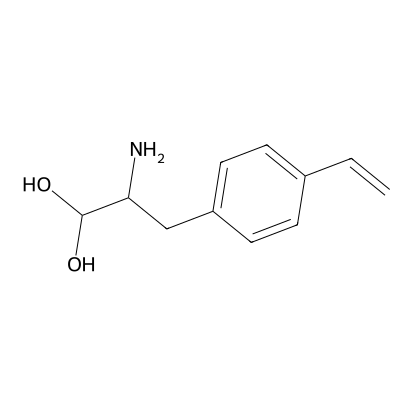 C=Cc1ccc(CC(N)C(O)O)cc1